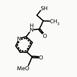 COC(=O)c1ccnc(NC(=O)C(C)CS)c1